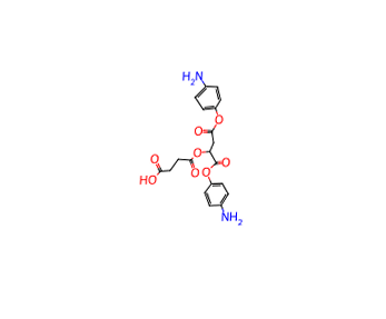 Nc1ccc(OC(=O)CC(OC(=O)CCC(=O)O)C(=O)Oc2ccc(N)cc2)cc1